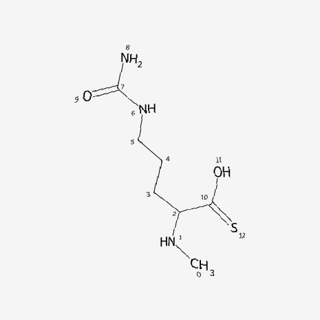 CNC(CCCNC(N)=O)C(O)=S